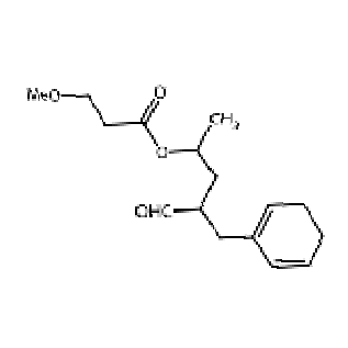 COCCC(=O)OC(C)CC(C=O)CC1=CCCC=C1